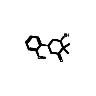 COc1ccccc1[C@@H]1CC(=O)C(C)(C)[C@H](O)C1